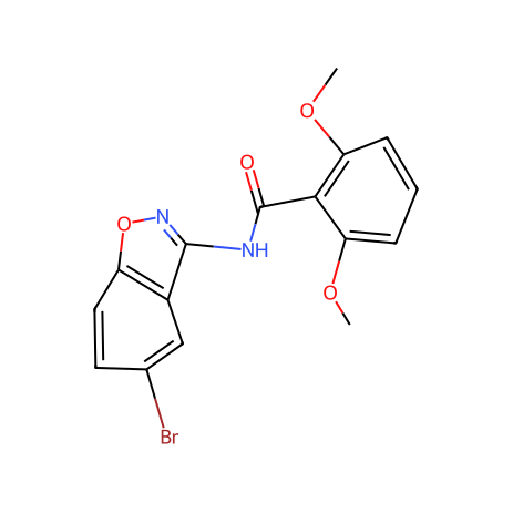 COc1cccc(OC)c1C(=O)Nc1noc2ccc(Br)cc12